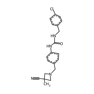 CC1(C#N)CN(Cc2ccc(NC(=O)NCc3ccc(Cl)cc3)cc2)C1